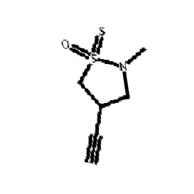 C#CC1CN(C)S(=O)(=S)C1